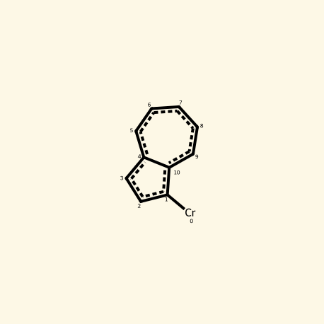 [Cr][c]1ccc2cccccc1-2